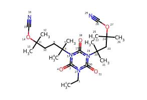 CCn1c(=O)n(C(C)(C)CCC(C)(C)OC#N)c(=O)n(C(C)(C)CC(C)(C)OC#N)c1=O